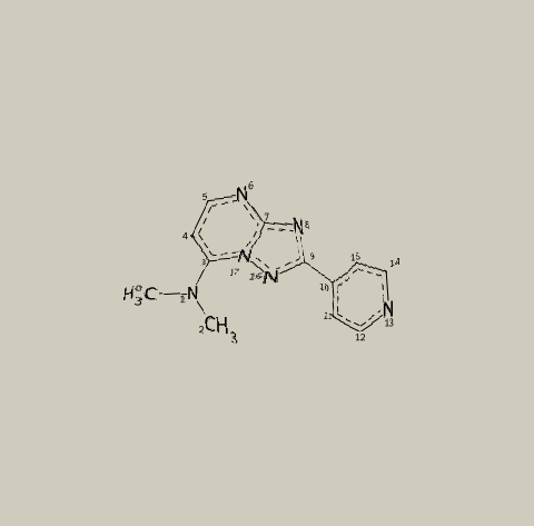 CN(C)c1ccnc2nc(-c3ccncc3)nn12